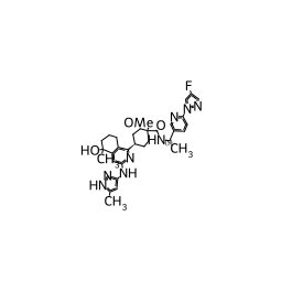 CO[C@]1(C(=O)N[C@@H](C)c2ccc(-n3cc(F)cn3)nc2)CC[C@H](c2nc(Nc3cc(C)[nH]n3)cc3c2CCCC3(C)O)CC1